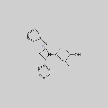 CC1C=C(N2/C(=N/c3ccccc3)CC2c2ccccc2)CCC1O